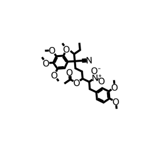 CCC(C)C(C#N)(CCC(OC(C)=O)C(Cc1ccc(OC)c(OC)c1)[N+](=O)[O-])c1cc(OC)c(OC)c(OC)c1OC